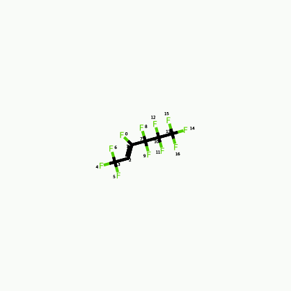 FC(=CC(F)(F)F)C(F)(F)C(F)(F)C(F)(F)F